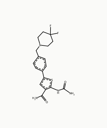 NC(=O)Nc1sc(-c2ccc(CN3CCC(F)(F)CC3)cc2)cc1C(N)=O